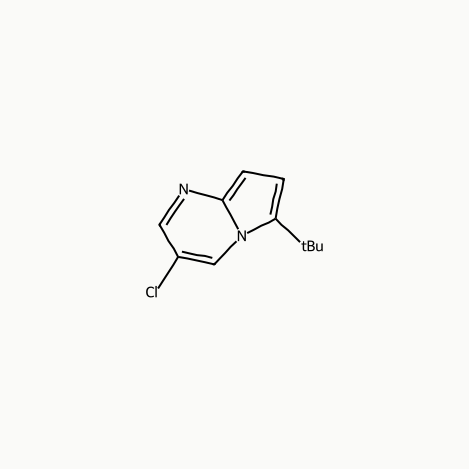 CC(C)(C)c1ccc2ncc(Cl)cn12